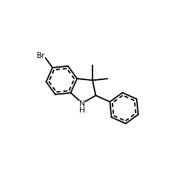 CC1(C)c2cc(Br)ccc2NC1c1ccccc1